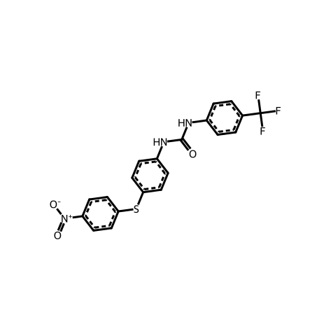 O=C(Nc1ccc(Sc2ccc([N+](=O)[O-])cc2)cc1)Nc1ccc(C(F)(F)F)cc1